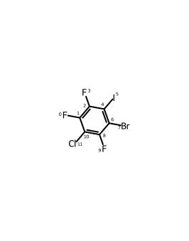 Fc1c(F)c(I)c(Br)c(F)c1Cl